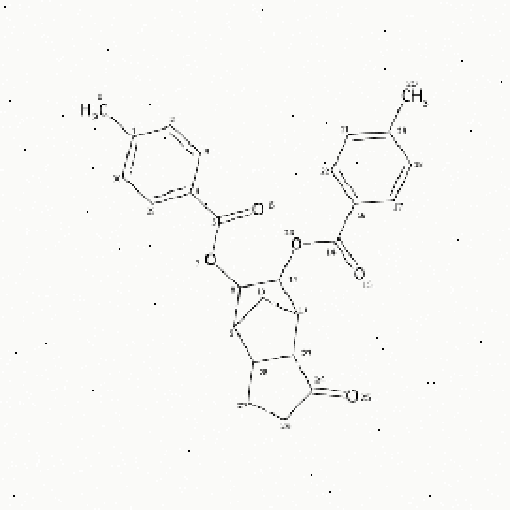 Cc1ccc(C(=O)OC2C3CC(C2OC(=O)c2ccc(C)cc2)C2C(=O)CCC32)cc1